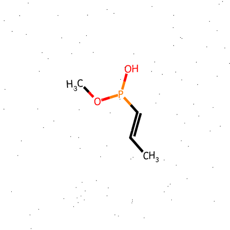 CC=CP(O)OC